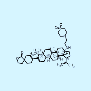 C=C(C)[C@@H]1CC[C@]2(NCCN3CCS(=O)(=O)CC3)CC[C@]3(C)[C@H](CC[C@@H]4[C@@]5(C)CC=C(C6=CCC7(CCOC7=O)CC6)C(C)(C)[C@@H]5CC[C@]43C)[C@@H]12